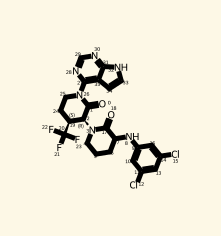 O=C1[C@H](N2CCCC(Nc3cc(Cl)cc(Cl)c3)C2=O)[C@@H](C(F)(F)F)CCN1c1ncnc2[nH]ccc12